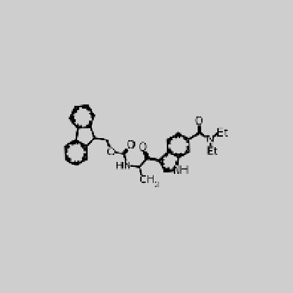 CCN(CC)C(=O)c1ccc2c(C(=O)C(C)NC(=O)OCC3c4ccccc4-c4ccccc43)c[nH]c2c1